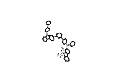 CC1(C)c2ccccc2-c2ccc(N(c3ccccc3)c3ccc(-c4cccc(-c5ccc6c7ccccc7n(-c7ccc(-c8ccccc8)cc7)c6c5)c4)cc3)cc21